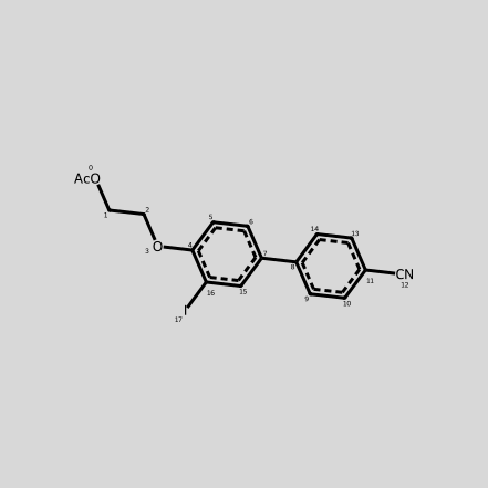 CC(=O)OCCOc1ccc(-c2ccc(C#N)cc2)cc1I